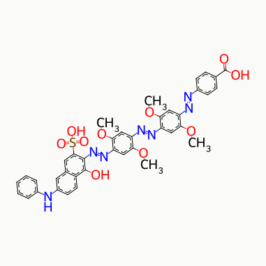 COc1cc(N=Nc2cc(OC)c(N=Nc3c(S(=O)(=O)O)cc4cc(Nc5ccccc5)ccc4c3O)cc2OC)c(OC)cc1N=Nc1ccc(C(=O)O)cc1